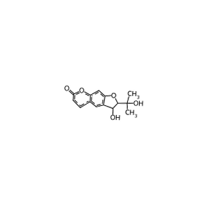 CC(C)(O)C1Oc2cc3oc(=O)ccc3cc2C1O